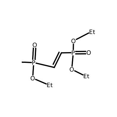 CCOP(C)(=O)C=CP(=O)(OCC)OCC